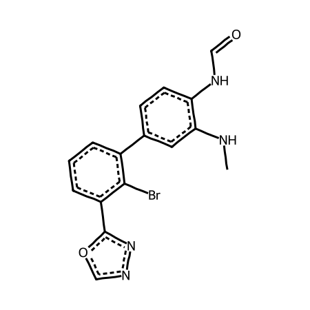 CNc1cc(-c2cccc(-c3nnco3)c2Br)ccc1NC=O